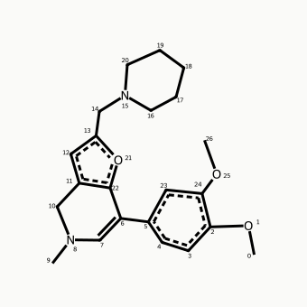 COc1ccc(C2=CN(C)Cc3cc(CN4CCCCC4)oc32)cc1OC